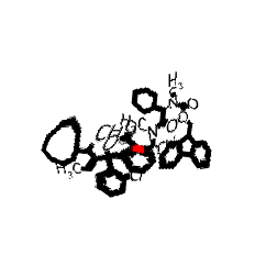 C/C=C(\C(C)C1CCCCCCCC1)C(OC(=O)C[C@@H](C)N(C)C(=O)[C@H](C1CCCCC1)N(C)C(=O)OCC1c2ccccc2-c2ccccc21)(c1ccccc1)c1ccccc1Cl